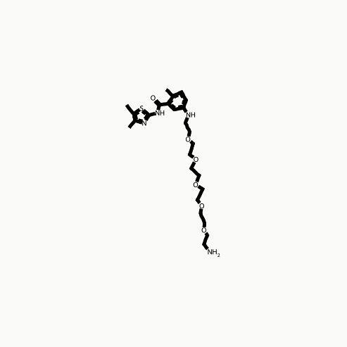 Cc1ccc(NCCOCCOCCOCCOCCOCCN)cc1C(=O)Nc1nc(C)c(C)s1